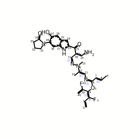 C=C/C(F)=C(/OC(/C=C/C)=N/C=C(\C)N(C)/N=C\C(=C\N)C(=O)c1cc2cc(O)c(N3CCCC3=O)cc2[nH]1)C(=C)F